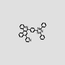 c1ccc(-c2nc(-c3ccccc3)nc(-c3ccc(-c4nc5ccccc5c5c4cc(-c4cccnc4)c4ccccc45)cc3)n2)cc1